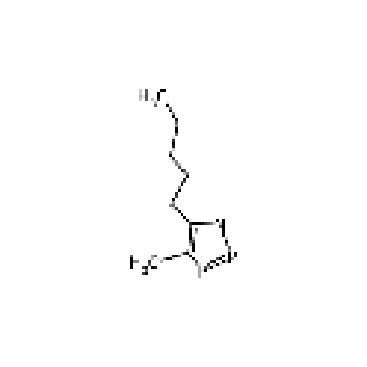 CCCCCC1=C(C)P=P[N]1